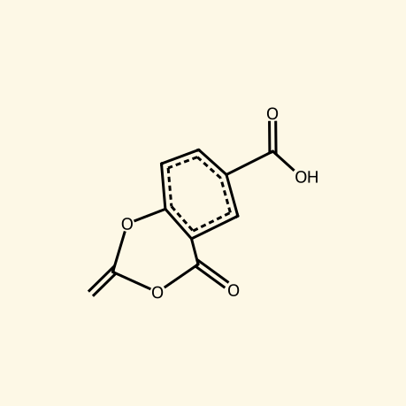 C=C1OC(=O)c2cc(C(=O)O)ccc2O1